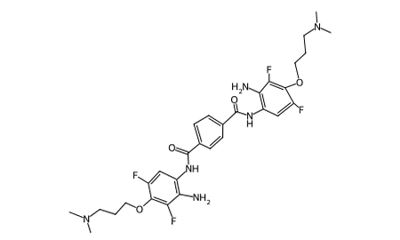 CN(C)CCCOc1c(F)cc(NC(=O)c2ccc(C(=O)Nc3cc(F)c(OCCCN(C)C)c(F)c3N)cc2)c(N)c1F